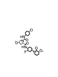 COc1cccn(-c2ccc(NC(=O)[C@H]3C[C@@H](OC)CN3C(=O)Nc3ccc(Cl)cc3)c(F)c2)c1=O